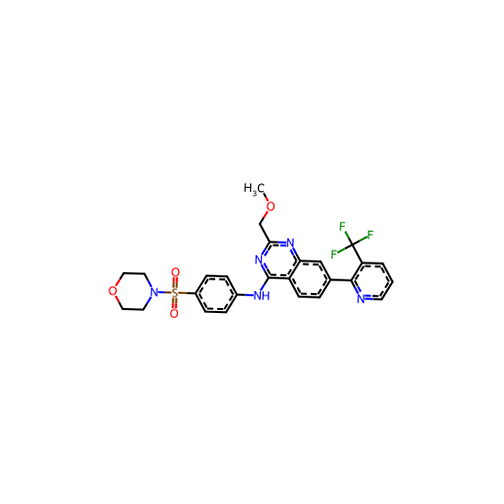 COCc1nc(Nc2ccc(S(=O)(=O)N3CCOCC3)cc2)c2ccc(-c3ncccc3C(F)(F)F)cc2n1